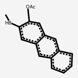 CBc1cc2cc3ccccc3cc2cc1OC(C)=O